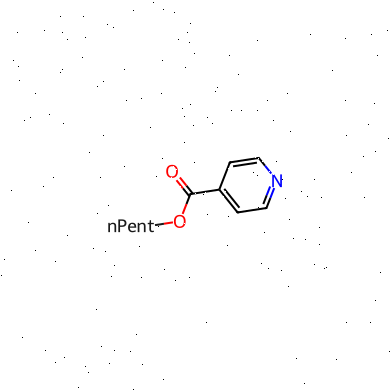 CCCCCOC(=O)c1ccncc1